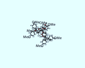 COc1ccc(N(c2ccc(OC)cc2)c2cc3c(N(c4ccc(OC)cc4)c4ccc(OC)cc4)cc2CCc2cc(N(c4ccc(OC)cc4)c4ccc(OC)cc4)c(cc2N(c2ccc(OC)cc2)c2ccc(OC)cc2)CC3)cc1